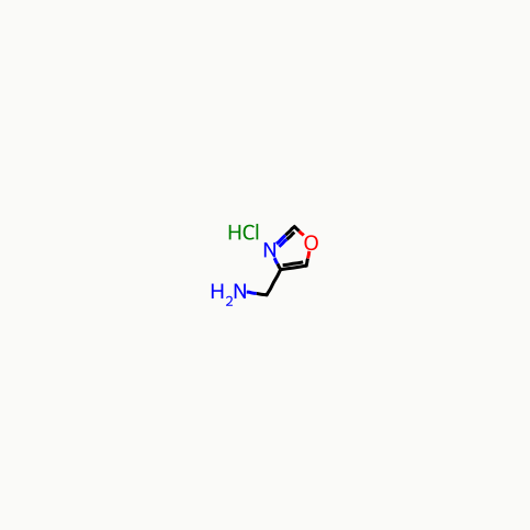 Cl.NCc1cocn1